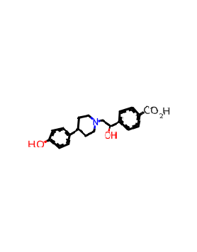 O=C(O)c1ccc(C(O)CN2CCC(c3ccc(O)cc3)CC2)cc1